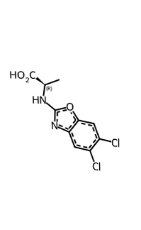 C[C@@H](Nc1nc2cc(Cl)c(Cl)cc2o1)C(=O)O